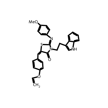 C=COc1ccc(/C=C2/S/C(=N\c3ccc(OC)cc3)N(CCc3c[nH]c4ccccc34)C2=O)cc1